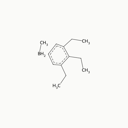 BC.CCc1cccc(CC)c1CC